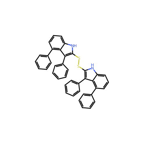 c1ccc(-c2cccc3[nH]c(SSc4[nH]c5cccc(-c6ccccc6)c5c4-c4ccccc4)c(-c4ccccc4)c23)cc1